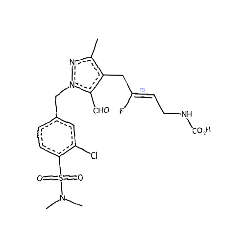 Cc1nn(Cc2ccc(S(=O)(=O)N(C)C)c(Cl)c2)c(C=O)c1C/C(F)=C/CNC(=O)O